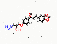 NCC(O)COc1ccc(C(=O)/C=C/c2ccc3c(c2)OCO3)cc1